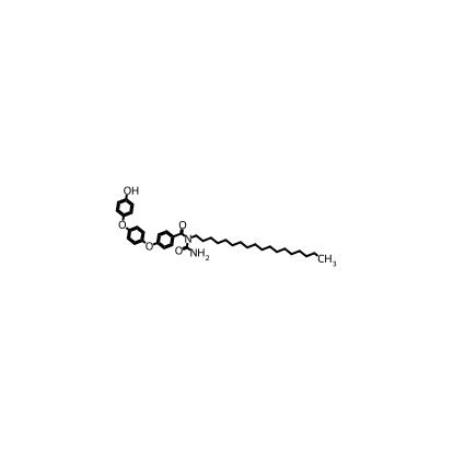 CCCCCCCCCCCCCCCCCCN(C(N)=O)C(=O)c1ccc(Oc2ccc(Oc3ccc(O)cc3)cc2)cc1